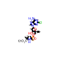 C#C[C@]1(CO[PH](=O)C(C)(C)NC(C)(C)C(=O)OCC)O[C@@H](n2cnc3c(N)nc(Cl)nc32)C[C@@H]1O